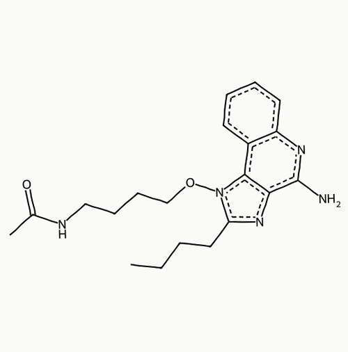 CCCCc1nc2c(N)nc3ccccc3c2n1OCCCCNC(C)=O